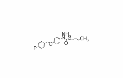 C=CCCOC(=O)N(N)c1ccc(OCc2ccc(F)cc2)cc1